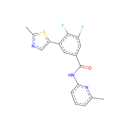 Cc1cccc(NC(=O)c2cc(F)c(F)c(-c3cnc(C)s3)c2)n1